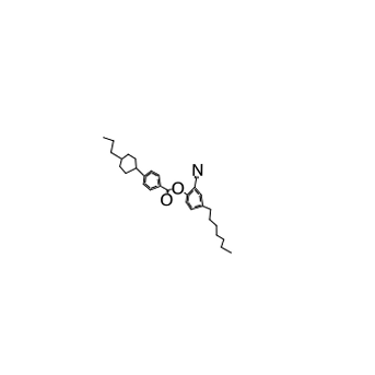 CCCCCCCc1ccc(OC(=O)c2ccc(C3CCC(CCC)CC3)cc2)c(C#N)c1